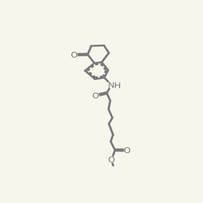 COC(=O)CCCCCCC(=O)Nc1ccc2c(c1)CCCC2=O